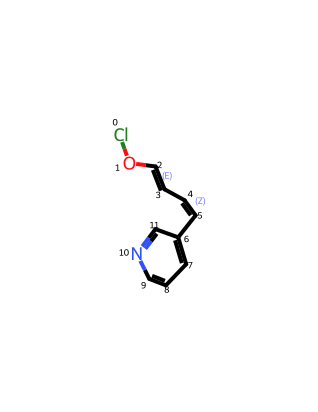 ClO/C=C/C=C\c1cccnc1